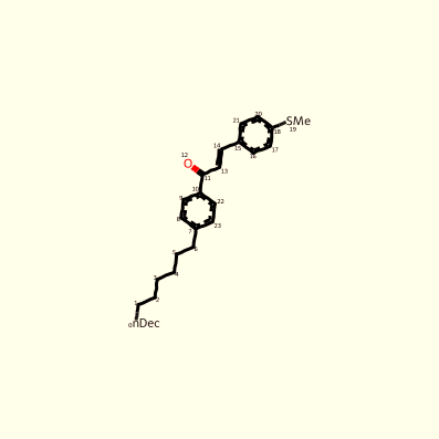 CCCCCCCCCCCCCCCCc1ccc(C(=O)C=Cc2ccc(SC)cc2)cc1